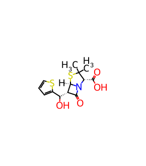 CC1(C)S[C@@H]2[C@@H](C(O)c3cccs3)C(=O)N2[C@H]1C(=O)O